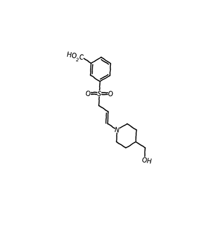 O=C(O)c1cccc(S(=O)(=O)CC=CN2CCC(CO)CC2)c1